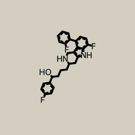 OC(CCCC1Cc2[nH]c3c(F)ccc(-c4ccccc4F)c3c2CN1)c1ccc(F)cc1